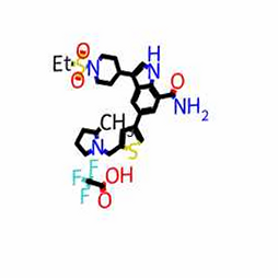 CCS(=O)(=O)N1CCC(c2c[nH]c3c(C(N)=O)cc(-c4csc(CN5CCCC5C)c4)cc23)CC1.O=C(O)C(F)(F)F